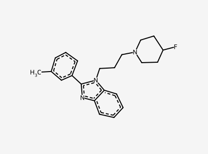 Cc1cccc(-c2nc3ccccc3n2CCCN2CCC(F)CC2)c1